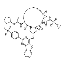 O=C(N[C@H]1CCCCC/C=C\[C@@H]2C[C@@]2(C(=O)NS(=O)(=O)C2CC2)NC(=O)[C@@H]2C[C@@H](Oc3nc(-c4ccc(C(F)(F)F)cc4)nc4c3oc3ccccc34)CN2C1=O)OC1CCCC1